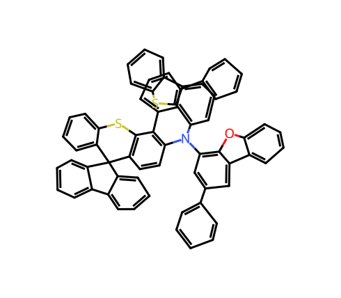 c1ccc(-c2cccc(-c3c(N(c4cc(-c5ccccc5)cc5c4oc4ccccc45)c4cccc5c4sc4ccccc45)ccc4c3Sc3ccccc3C43c4ccccc4-c4ccccc43)c2)cc1